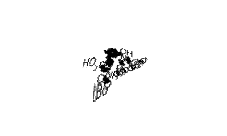 Cc1ccc(C(O)N(CCOS(C)(=O)=O)CCOS(C)(=O)=O)cc1CC(C)(C)C[C@@H](CC(=O)O)NC(=O)OC(C)(C)C